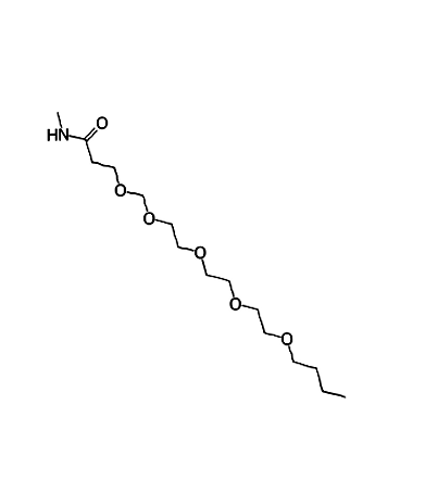 CCCCOCCOCCOCCOCOCCC(=O)NC